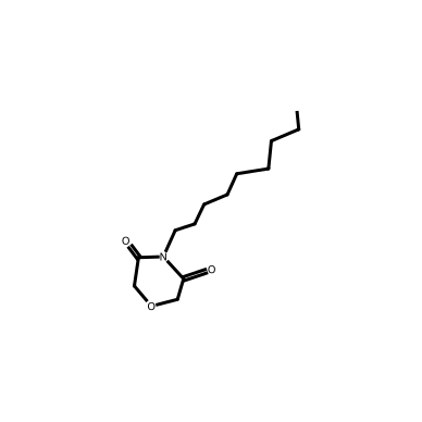 CCCCCCCCCN1C(=O)COCC1=O